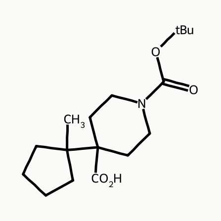 CC(C)(C)OC(=O)N1CCC(C(=O)O)(C2(C)CCCC2)CC1